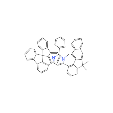 CN1C(c2cccc3c2-c2cc4ccccc4cc2C3(C)C)=CC(c2cccc3c2C2(c4ccccc4-c4ccccc42)c2ccccc2-3)=NC1c1ccccc1